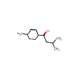 CC(C)CC(=O)C1CCC(C)CC1